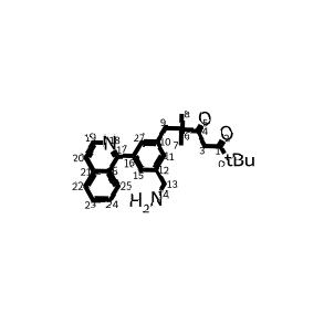 CC(C)(C)C(=O)CC(=O)C(C)(C)Cc1cc(CN)cc(-c2nccc3ccccc23)c1